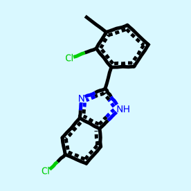 Cc1cccc(-c2nc3cc(Cl)ccc3[nH]2)c1Cl